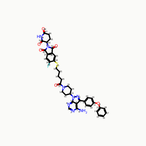 Nc1ncnc2c1c(-c1ccc(Oc3ccccc3)cc1)nn2C1CCN(C(=O)CCCCSc2cc3c(cc2F)C(=O)N(C2CCC(=O)NC2=O)C3=O)CC1